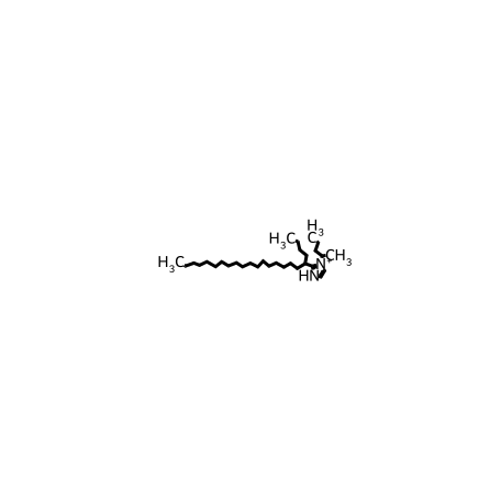 CCCCCCCCCCCCCCCCCCC(CCCC)c1[nH]cc[n+]1C(C)CCC